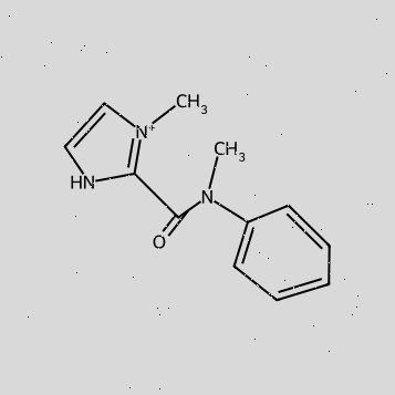 CN(C(=O)c1[nH]cc[n+]1C)c1ccccc1